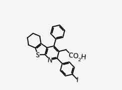 O=C(O)Cc1c(-c2ccc(I)cc2)nc2sc3c(c2c1-c1ccccc1)CCCC3